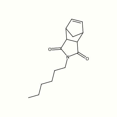 CCCCCCN1C(=O)C2C3C=CC(C3)C2C1=O